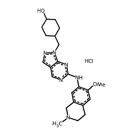 COc1cc2c(cc1Nc1ncc3cnn(CC4CCC(O)CC4)c3n1)CN(C)CC2.Cl